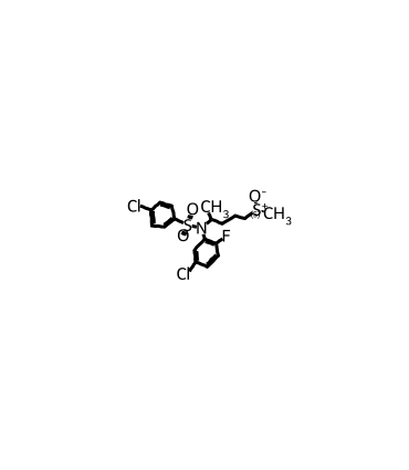 CC(CCC[S@@+](C)[O-])N(c1cc(Cl)ccc1F)S(=O)(=O)c1ccc(Cl)cc1